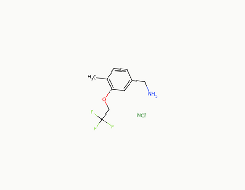 Cc1ccc(CN)cc1OCC(F)(F)F.Cl